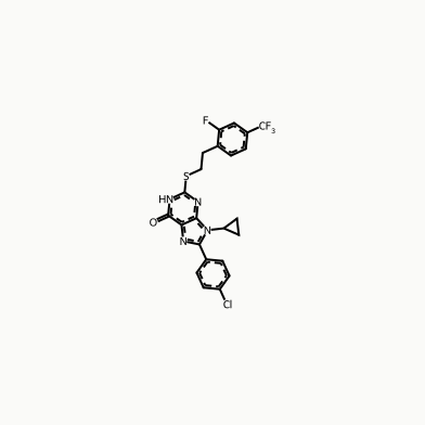 O=c1[nH]c(SCCc2ccc(C(F)(F)F)cc2F)nc2c1nc(-c1ccc(Cl)cc1)n2C1CC1